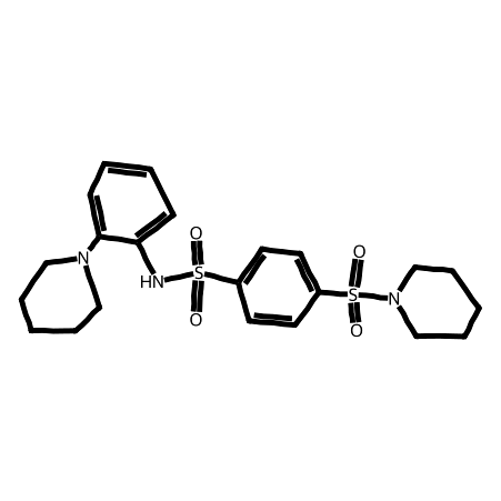 O=S(=O)(Nc1ccccc1N1CCCCC1)c1ccc(S(=O)(=O)N2CCCCC2)cc1